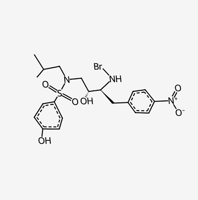 CC(C)CN(C[C@@H](O)[C@H](Cc1ccc([N+](=O)[O-])cc1)NBr)S(=O)(=O)c1ccc(O)cc1